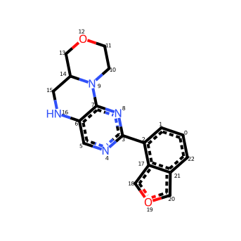 c1cc(-c2ncc3c(n2)N2CCOCC2CN3)c2cocc2c1